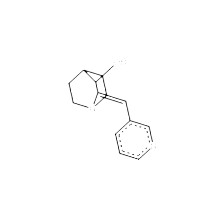 OC1/C(=C/c2cccnc2)N2CCC1CC2